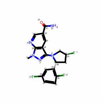 Cn1nc(N2C[C@@H](F)C[C@@H]2c2cc(F)ccc2F)c2cc(C(N)=O)cnc21